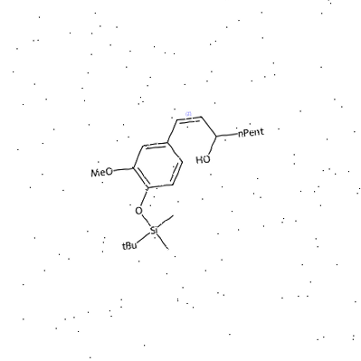 CCCCCC(O)/C=C\c1ccc(O[Si](C)(C)C(C)(C)C)c(OC)c1